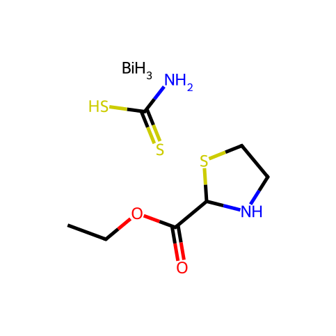 CCOC(=O)C1NCCS1.NC(=S)S.[BiH3]